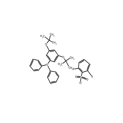 CC(C)(C)Oc1cc(OC(C)(C)C)cc([S+](c2ccccc2)c2ccccc2)c1.O=S(=O)([O-])c1c(F)cccc1F